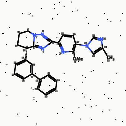 COc1nc(-c2nc3n(n2)CCC[C@H]3c2cccc(-c3ccccc3)c2)ccc1-n1cnc(C)c1